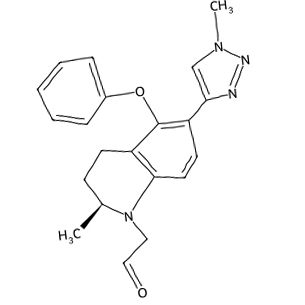 C[C@H]1CCc2c(ccc(-c3cn(C)nn3)c2Oc2ccccc2)N1CC=O